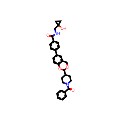 O=C(NCC1(O)CC1)c1ccc(-c2ccc3c(c2)COC(C2CCN(C(=O)c4ccccc4)CC2)O3)cc1